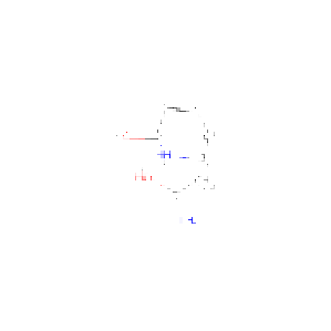 CCO.N.O=c1cccc[nH]1